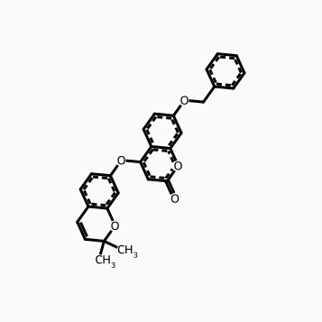 CC1(C)C=Cc2ccc(Oc3cc(=O)oc4cc(OCc5ccccc5)ccc34)cc2O1